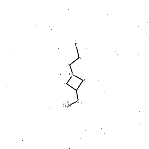 NSC1CN(CCF)C1